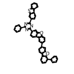 c1ccc(-c2nc(-c3ccc4c(c3)oc3ccc(-c5ccc6c(c5)oc5c(-c7ccccc7)cccc56)cc34)nc(-c3ccc4c(c3)sc3ccccc34)n2)cc1